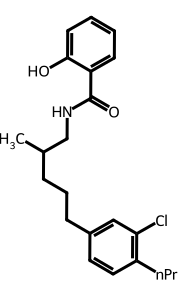 CCCc1ccc(CCCC(C)CNC(=O)c2ccccc2O)cc1Cl